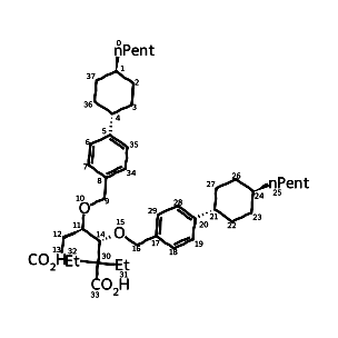 CCCCC[C@H]1CC[C@H](c2ccc(CO[C@H](CC(=O)O)[C@H](OCc3ccc([C@H]4CC[C@H](CCCCC)CC4)cc3)C(CC)(CC)C(=O)O)cc2)CC1